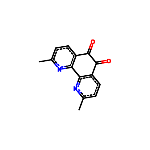 Cc1ccc2c(n1)-c1nc(C)ccc1C(=O)C2=O